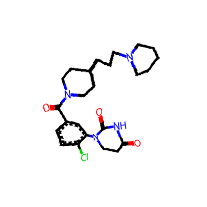 O=C1CCN(c2cc(C(=O)N3CCC(CCCN4CCCCC4)CC3)ccc2Cl)C(=O)N1